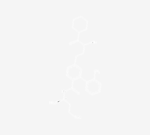 CCCCN(CCc1ccc(C(=O)N[C@@H](CCSC)C(=O)O)c(-c2ccccc2C)c1)C(=O)C1CCCCC1